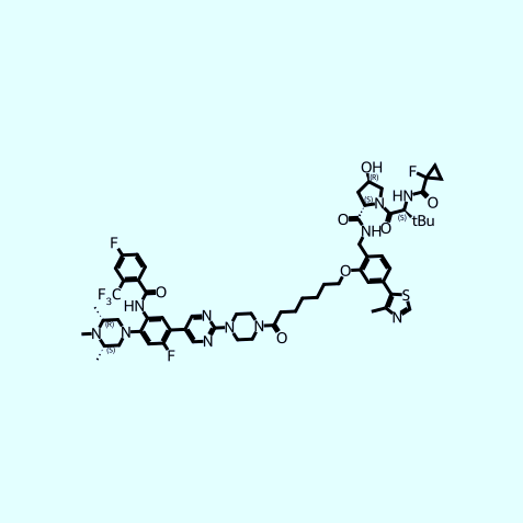 Cc1ncsc1-c1ccc(CNC(=O)[C@@H]2C[C@@H](O)CN2C(=O)[C@@H](NC(=O)C2(F)CC2)C(C)(C)C)c(OCCCCCCC(=O)N2CCN(c3ncc(-c4cc(NC(=O)c5ccc(F)cc5C(F)(F)F)c(N5C[C@@H](C)N(C)[C@@H](C)C5)cc4F)cn3)CC2)c1